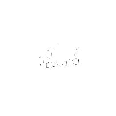 C=CCCc1cc(F)ccc1Cc1cnc(-c2cc3nc(C)c(C(OC(C)(C)C)C(=O)O)c(N4CCC(C)(CCC=C)CC4)n3n2)s1